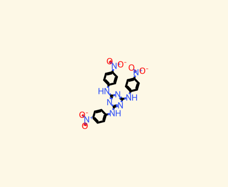 O=[N+]([O-])c1ccc(Nc2nc(Nc3ccc([N+](=O)[O-])cc3)nc(Nc3ccc([N+](=O)[O-])cc3)n2)cc1